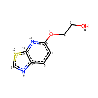 OCCOc1ccc2n[c]sc2n1